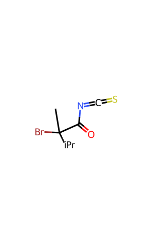 CC(C)C(C)(Br)C(=O)N=C=S